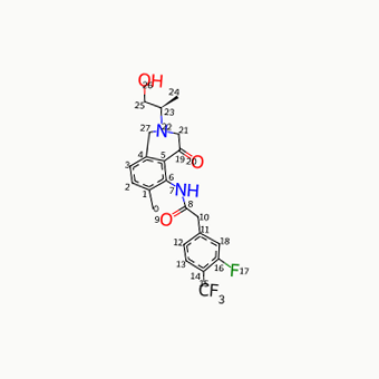 Cc1ccc2c(c1NC(=O)Cc1ccc(C(F)(F)F)c(F)c1)C(=O)CN([C@H](C)CO)C2